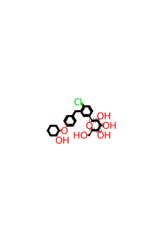 OC[C@H]1O[C@@H](c2ccc(Cl)c(Cc3ccc(OC4CCCCC4O)cc3)c2)[C@H](O)[C@@H](O)[C@@H]1O